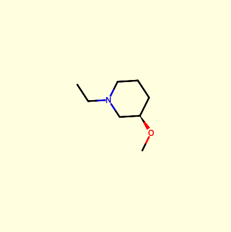 CCN1CCC[C@@H](OC)C1